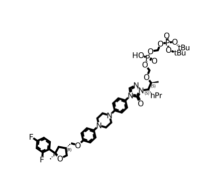 CCC[C@@H]([C@H](C)OCOP(=O)(O)OCOP(=O)(OC(C)(C)C)OC(C)(C)C)n1ncn(-c2ccc(N3CCN(c4ccc(OC[C@@H]5CO[C@@](C)(c6ccc(F)cc6F)C5)cc4)CC3)cc2)c1=O